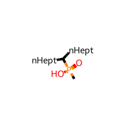 CCCCCCCC(CCCCCCC)P(C)(=O)O